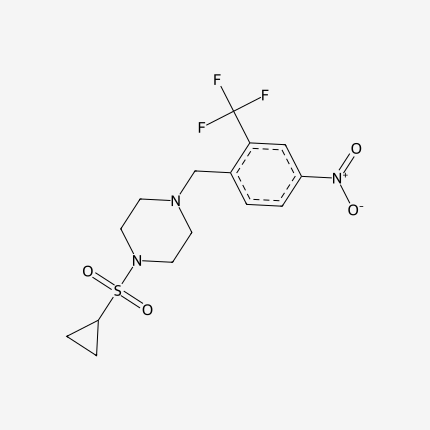 O=[N+]([O-])c1ccc(CN2CCN(S(=O)(=O)C3CC3)CC2)c(C(F)(F)F)c1